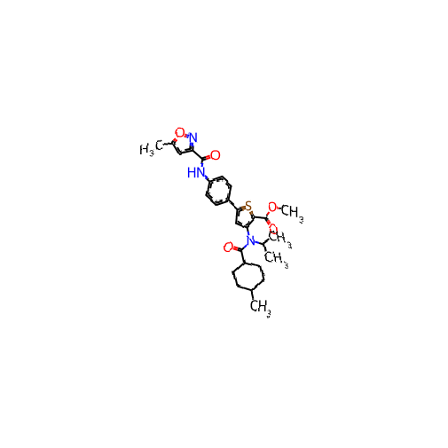 COC(=O)c1sc(-c2ccc(NC(=O)c3cc(C)on3)cc2)cc1N(C(=O)C1CCC(C)CC1)C(C)C